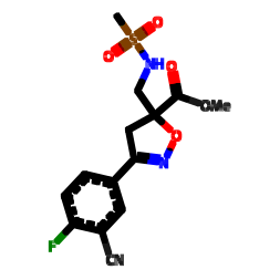 COC(=O)C1(CNS(C)(=O)=O)CC(c2ccc(F)c(C#N)c2)=NO1